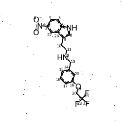 O=[N+]([O-])c1ccc2[nH]cc(CCNCc3cccc(OCC(F)(F)F)c3)c2c1